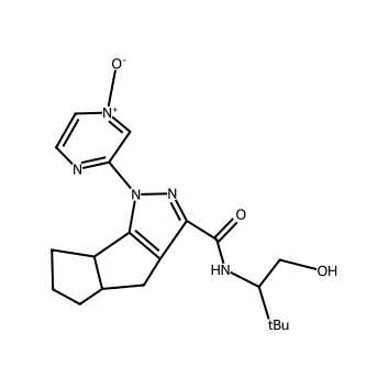 CC(C)(C)C(CO)NC(=O)c1nn(-c2c[n+]([O-])ccn2)c2c1CC1CCCC21